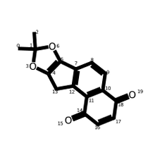 CC1(C)OC2=C(O1)c1ccc3c(c1C2)C(=O)C=CC3=O